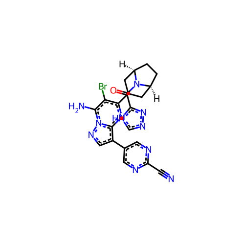 N#Cc1ncc(-c2cnn3c(N)c(Br)c(C4C[C@H]5CC[C@@H](C4)N5C(=O)c4nnc[nH]4)nc23)cn1